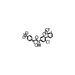 CS(=O)(=O)c1ccc([C@H](CO)C(=O)Nc2cc(Cl)c(-c3ccccc3OC(F)(F)F)c(Cl)c2)cc1